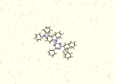 c1ccc(-c2nc(-c3cc4ccccc4c4c3sc3ccccc34)nc(-n3c4ccccc4c4c5c6ccccc6n(-c6ccccc6)c5ccc43)n2)cc1